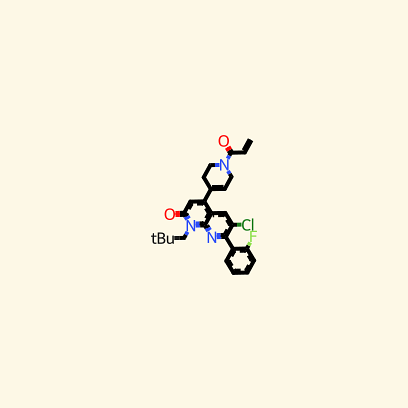 C=CC(=O)N1CC=C(c2cc(=O)n(CC(C)(C)C)c3nc(-c4ccccc4F)c(Cl)cc23)CC1